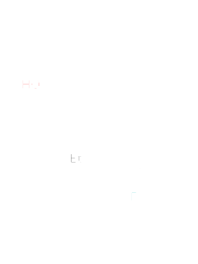 [CH2]C(CO)c1cccc(F)c1CC